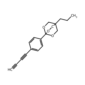 C#CC#Cc1ccc(C23OCC(CCC)(CO2)CO3)cc1